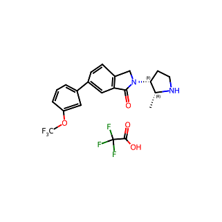 C[C@H]1NCC[C@H]1N1Cc2ccc(-c3cccc(OC(F)(F)F)c3)cc2C1=O.O=C(O)C(F)(F)F